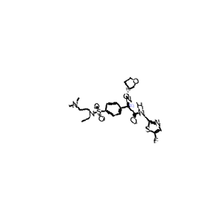 CCN(CCN(C)C)S(=O)(=O)c1ccc(/C(=N\O[C@@H]2CCOC2)C(=O)Nc2ncc(F)s2)cc1